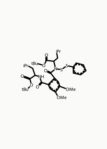 COc1cc(C(=O)NC(CC(C)C)C(=O)OC(C)(C)C)c(C(=O)N(SSc2ccccc2)C(CC(C)C)C(=O)OC(C)(C)C)cc1OC